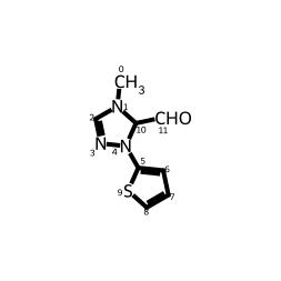 CN1C=NN(c2cccs2)C1C=O